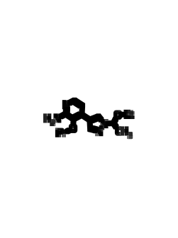 CCOC(C)n1cc(-c2ccnc(N)c2OC(C)C)cn1